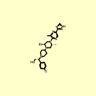 CC[C@H]1CN(c2ncc(-c3nc[nH]n3)nc2C)[C@H](C)CN1C1CCN([C@@H](CO)c2ccc(Cl)cc2)CC1